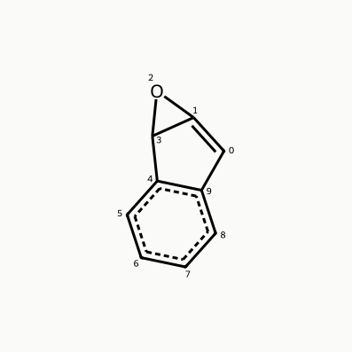 C1=C2OC2c2ccccc21